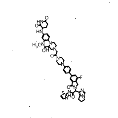 CN1C(=O)[C@H]2CN(CC(=O)N3CCN(c4ccc(-c5cc(F)c6c(c5)C(=O)N(C(C(=O)Nc5nccs5)c5ncn7c5CCC7)C6)cc4)CC3)CCN2c2ccc(NC3CCC(=O)NC3=O)cc21